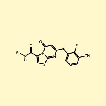 CCNC(=O)c1csc2nc(Cc3cccc(C#N)c3F)cc(=O)n12